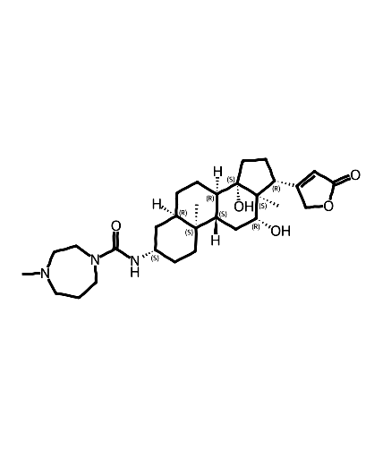 CN1CCCN(C(=O)N[C@H]2CC[C@@]3(C)[C@H](CC[C@@H]4[C@@H]3C[C@@H](O)[C@]3(C)[C@@H](C5=CC(=O)OC5)CC[C@]43O)C2)CC1